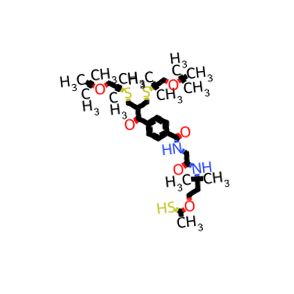 CC(S)OCCC(C)(C)NC(=O)CNC(=O)c1ccc(C(=O)C(CSC(C)(C)COC(C)(C)C)CSC(C)(C)COC(C)(C)C)cc1